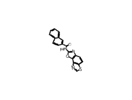 O=C(Nc1nc2ccc3scnc3c2o1)c1ccc2ccccc2c1